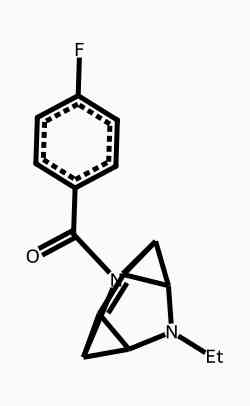 CCN1C2C3=C4C1C4N(C(=O)c1ccc(F)cc1)C32